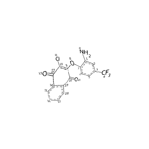 Nc1cc(C(F)(F)F)ccc1OC1=C(Cl)C(=O)c2ccccc2C1=O